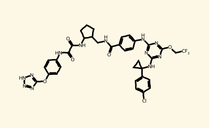 O=C(Nc1ccc(Oc2nn[nH]n2)cc1)C(=O)NC1CCCC1CNC(=O)c1ccc(Nc2nc(NC3(c4ccc(Cl)cc4)CC3)nc(OCC(F)(F)F)n2)cc1